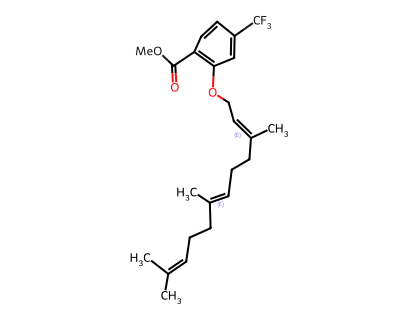 COC(=O)c1ccc(C(F)(F)F)cc1OC/C=C(\C)CC/C=C(\C)CCC=C(C)C